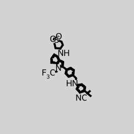 CC(C)(C#N)c1ccc(NCc2ccc(-c3cc4c(NC5CCS(=O)(=O)CC5)cccc4n3CC(F)(F)F)cc2)cc1